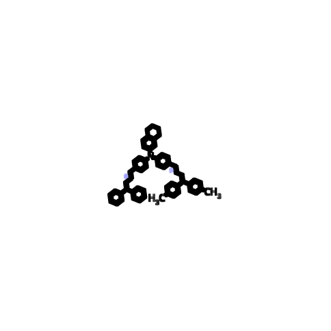 Cc1ccc(C(=C/C=C/c2ccc(N(c3ccc(/C=C/C=C(c4ccccc4)c4ccccc4)cc3)c3ccc4c(c3)CCCC4)cc2)c2ccc(C)cc2)cc1